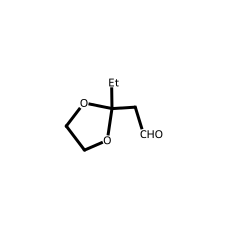 CCC1(CC=O)OCCO1